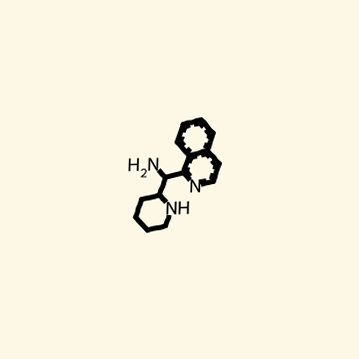 NC(c1nccc2ccccc12)C1CCCCN1